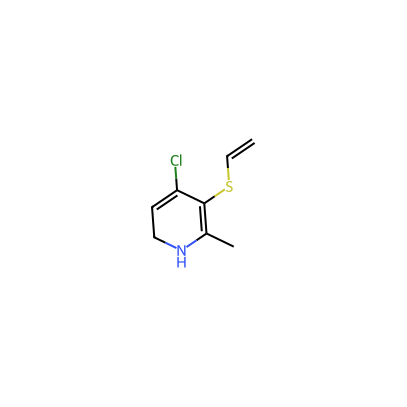 C=CSC1=C(C)NCC=C1Cl